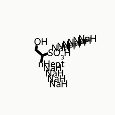 CCCCCCCC(CO)S(=O)(=O)O.[NaH].[NaH].[NaH].[NaH].[NaH].[NaH].[NaH].[NaH].[NaH].[NaH]